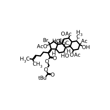 CC(=O)OC1C[C@@]2(C)[C@H]([C@H](O)C[C@@H]3C(=C(CCC=C(C)C)C(=O)OCOC(=O)C(C)(C)C)[C@@](Br)(OC(C)=O)C[C@@]32C)[C@@]2(C)C(OC(C)=O)C[C@](O)(C(C)=O)[C@@H](C)C12